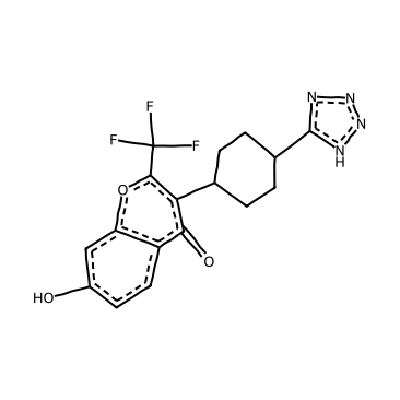 O=c1c(C2CCC(c3nnn[nH]3)CC2)c(C(F)(F)F)oc2cc(O)ccc12